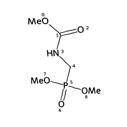 COC(=O)NCP(=O)(OC)OC